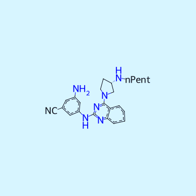 CCCCCN[C@H]1CCN(c2nc(Nc3cc(N)cc(C#N)c3)nc3ccccc23)C1